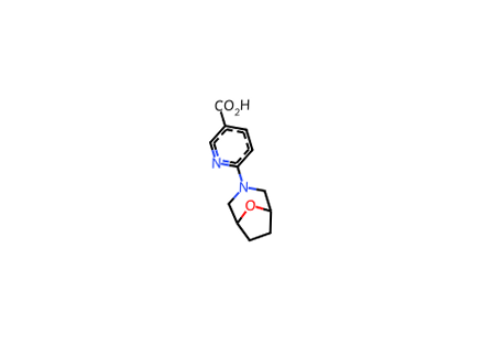 O=C(O)c1ccc(N2CC3CCC(C2)O3)nc1